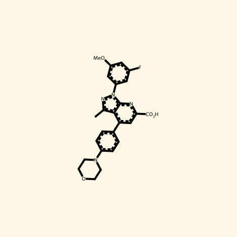 COc1cc(F)cc(-n2nc(C)c3c(-c4ccc(N5CCOCC5)cc4)cc(C(=O)O)nc32)c1